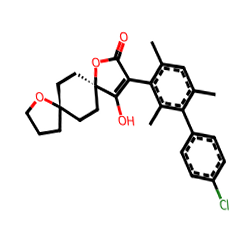 Cc1cc(C)c(-c2ccc(Cl)cc2)c(C)c1C1=C(O)[C@]2(CC[C@]3(CCCO3)CC2)OC1=O